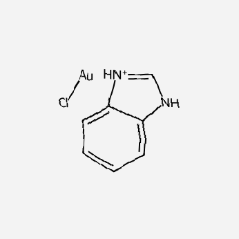 [Cl][Au].c1ccc2[nH+]c[nH]c2c1